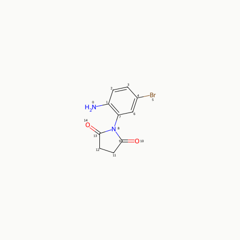 Nc1ccc(Br)cc1N1C(=O)CCC1=O